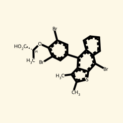 Cc1sc2c(Br)c3ccccc3c(-c3cc(Br)c(O[C@H](C)C(=O)O)c(Br)c3)c2c1C